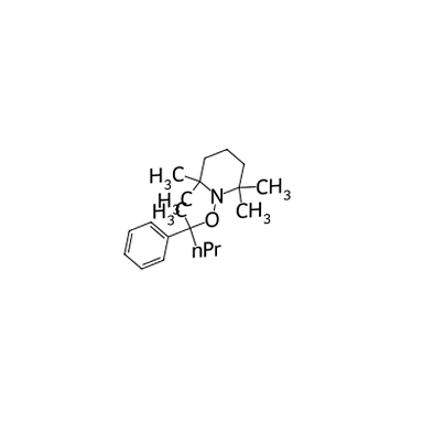 CCCC(C)(ON1C(C)(C)CCCC1(C)C)c1ccccc1